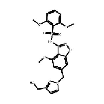 COc1cccc(OC)c1S(=O)(=O)Nc1noc2cc(Cn3ccc(CO)n3)cc(OC)c12